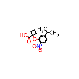 CC(C)c1ccc([N+](=O)[O-])c(OC2(C(=O)O)CCC2)c1